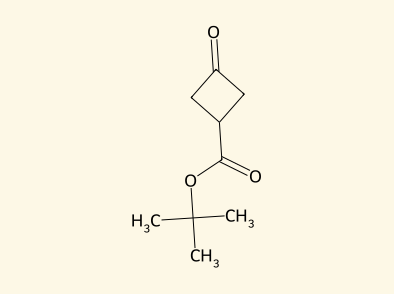 CC(C)(C)OC(=O)C1CC(=O)C1